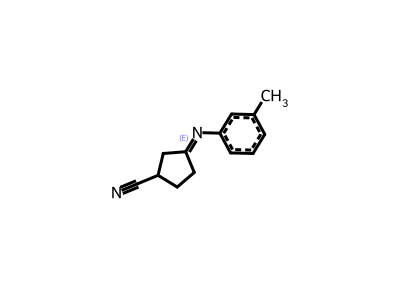 Cc1cccc(/N=C2\CCC(C#N)C2)c1